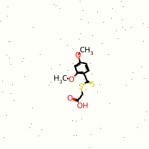 COc1ccc(C(=S)SCC(=O)O)c(OC)c1